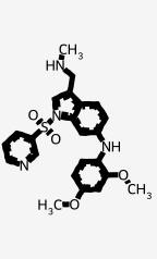 CNCc1cn(S(=O)(=O)c2cccnc2)c2cc(Nc3ccc(OC)cc3OC)ccc12